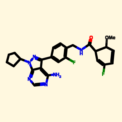 COC1C=CC(F)=CC1C(=O)NCc1ccc(-c2nn(C3CCCC3)c3ncnc(N)c23)cc1F